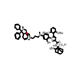 COc1cccc(OC)c1-c1cc(C(=O)NC2(C(=O)O)C3CC4CC(C3)CC2(C(C)(C)C)C4)nn1-c1ccc(N(C)CCCN(C)CCCN(C)C(c2ccccc2)(c2ccccc2)c2ccccc2)cc1C(C)C